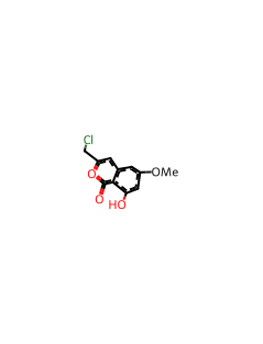 COc1cc(O)c2c(=O)oc(CCl)cc2c1